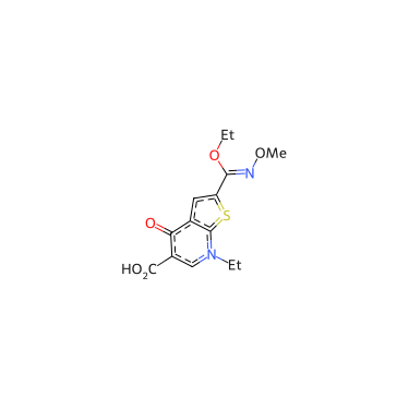 CCOC(=NOC)c1cc2c(=O)c(C(=O)O)cn(CC)c2s1